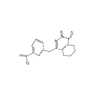 O=C(Cl)c1cccc(Cc2n[nH]c(=O)c3c2CCCC3)c1